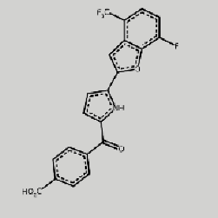 O=C(O)c1ccc(C(=O)c2ccc(-c3cc4c(C(F)(F)F)ccc(F)c4o3)[nH]2)cc1